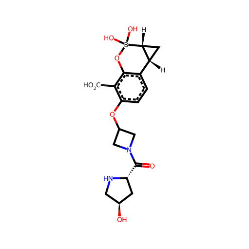 O=C(O)c1c(OC2CN(C(=O)[C@@H]3C[C@@H](O)CN3)C2)ccc2c1O[B-](O)(O)[C@@H]1C[C@H]21